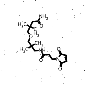 CC(C)(CNC(=O)CCN1C(=O)C=CC1=O)COCC(C)(C)CC(N)=O